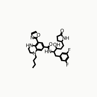 CCCCN1CCNc2c(-c3ncco3)cc(C(=O)NC(Cc3cc(F)cc(F)c3)C(O)CCC3CCC(=O)N3)cc21